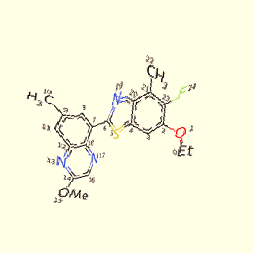 [CH2]COc1cc2sc(-c3cc(C)cc4nc(OC)cnc34)nc2c(C)c1F